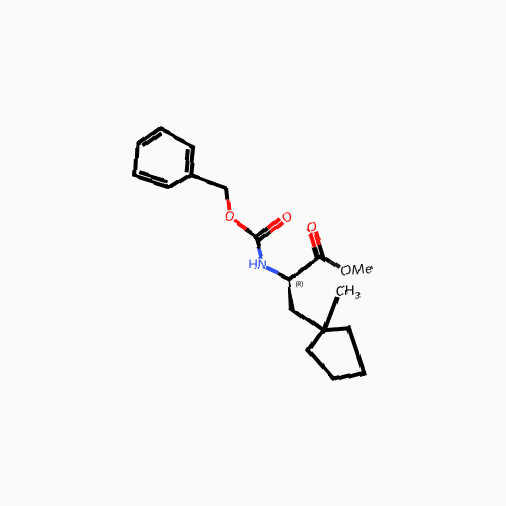 COC(=O)[C@@H](CC1(C)CCCC1)NC(=O)OCc1ccccc1